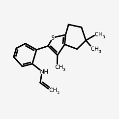 C=CNc1ccccc1-c1sc2c(c1C)CC(C)(C)CC2